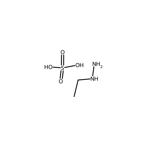 CCNN.O=S(=O)(O)O